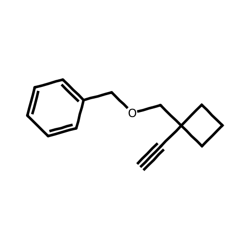 C#CC1(COCc2ccccc2)CCC1